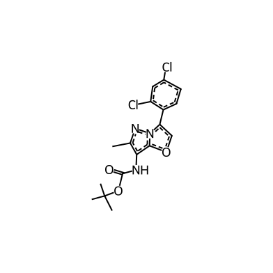 Cc1nn2c(-c3ccc(Cl)cc3Cl)coc2c1NC(=O)OC(C)(C)C